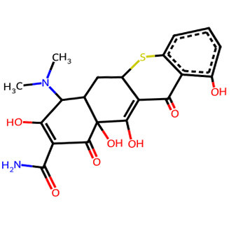 CN(C)C1C(O)=C(C(N)=O)C(=O)C2(O)C(O)=C3C(=O)c4c(O)cccc4SC3CC12